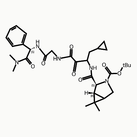 CN(C)C(=O)[C@@H](NC(=O)CNC(=O)C(=O)C(CC1CC1)NC(=O)[C@@H]1[C@@H]2C(CN1C(=O)OC(C)(C)C)C2(C)C)c1ccccc1